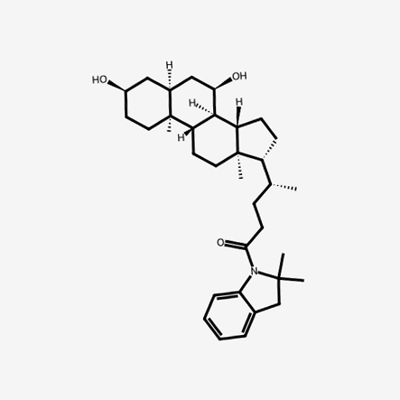 C[C@H](CCC(=O)N1c2ccccc2CC1(C)C)[C@H]1CC[C@H]2[C@@H]3[C@H](O)C[C@@H]4C[C@H](O)CC[C@]4(C)[C@H]3CC[C@]12C